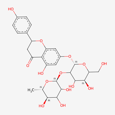 C[C@@H]1O[C@@H](OC2C(O)[C@H](O)C(CO)O[C@H]2Oc2cc(O)c3c(c2)OC(c2ccc(O)cc2)CC3=O)C(O)C(O)[C@H]1O